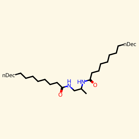 CCCCCCCCCCCCCCCCCC(=O)NCC(C)NC(=O)CCCCCCCCCCCCCCCCC